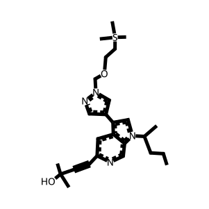 CCCC(C)n1cc(-c2cnn(COCCS(C)(C)C)c2)c2cc(C#CC(C)(C)O)ncc21